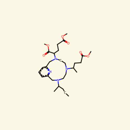 CCCC(C)N1CCN(C(C)CCC(=O)OC)CCN(C(CCC(=O)OC)C(=O)OC)Cc2cccc(n2)C1